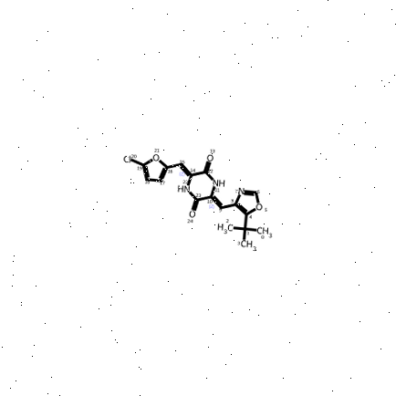 CC(C)(C)c1ocnc1/C=c1\[nH]c(=O)/c(=C/c2ccc(Cl)o2)[nH]c1=O